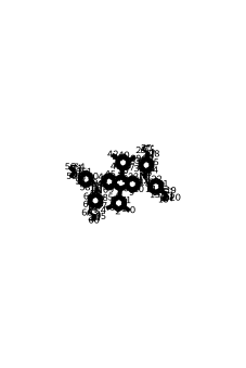 Cc1cc(C)cc(-c2c3ccc(N(c4ccc([Si](C)(C)C)cc4)c4ccc([Si](C)(C)C)cc4)cc3c(-c3cc(C)cc(C)c3)c3ccc(N(c4ccc([Si](C)(C)C)cc4)c4ccc([Si](C)(C)C)cc4)cc23)c1